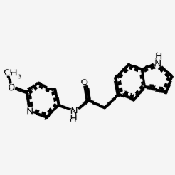 COc1ccc(NC(=O)Cc2ccc3[nH]ccc3c2)cn1